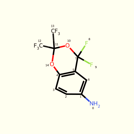 Nc1ccc2c(c1)C(F)(F)OC(C(F)(F)F)(C(F)(F)F)O2